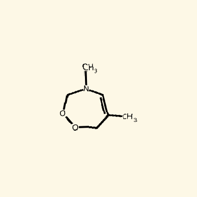 CC1=CN(C)COOC1